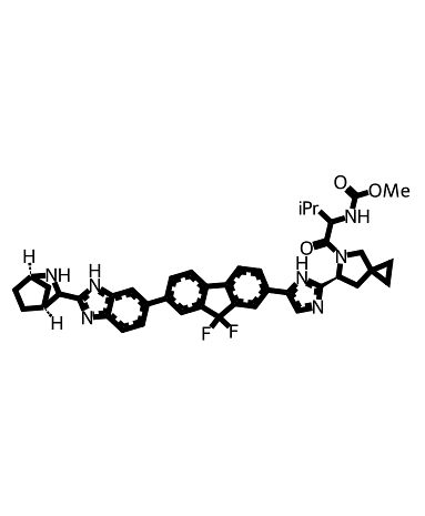 COC(=O)NC(C(=O)N1CC2(CC2)C[C@H]1c1ncc(-c2ccc3c(c2)C(F)(F)c2cc(-c4ccc5nc(C6N[C@@H]7CC[C@H]6C7)[nH]c5c4)ccc2-3)[nH]1)C(C)C